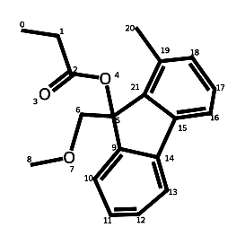 CCC(=O)OC1(COC)c2ccccc2-c2cccc(C)c21